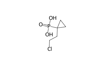 O=P(O)(O)C1(CCCl)CC1